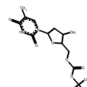 Cc1cn(C2CC(O)C(COC(=O)OC(C)(C)C)O2)c(=O)[nH]c1=O